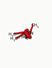 CCCCCCCCCCCCCCCCCCC1(C)\C(=C/C=C(C#N)/C=C/C2C(CCCCCCCCCCCCCCCCCC)(CCCCCCCCCCCCCCCCCC)c3ccc4ccccc4c3[N+]2(C)CCC(=O)O)N(CCC(=O)O)c2c1ccc1ccccc21